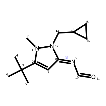 Cn1c(C(C)(C)C)c/c(=N\C=O)n1CC1CC1